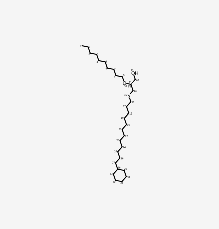 CCCCCCCCCCO[C@@H](CO)CSCCCCCCCCCCCCC1CCCCC1